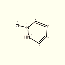 ClN1[C]=CC=CN1